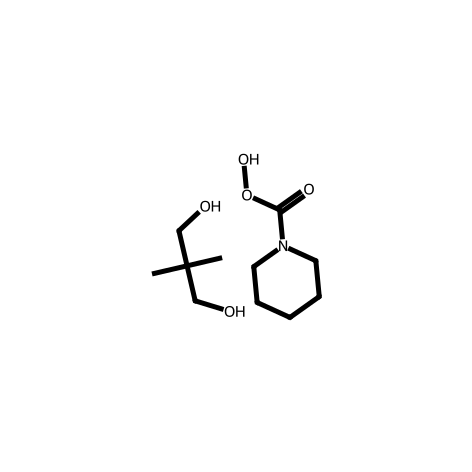 CC(C)(CO)CO.O=C(OO)N1CCCCC1